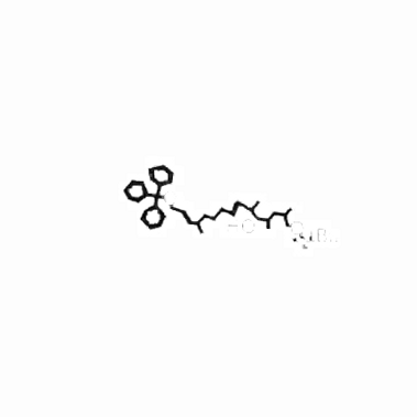 CC(C=CCOC(c1ccccc1)(c1ccccc1)c1ccccc1)CCCC=CC(C)C(O)C(C)CC(C)CO[Si](C)(C)C(C)(C)C